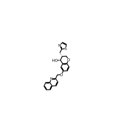 O[C@@H]1c2cc(OCc3ccc4ccccc4n3)ccc2OC[C@H]1Cc1nccs1